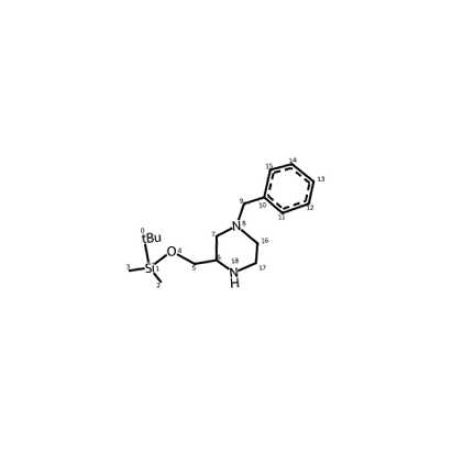 CC(C)(C)[Si](C)(C)OCC1CN(Cc2ccccc2)CCN1